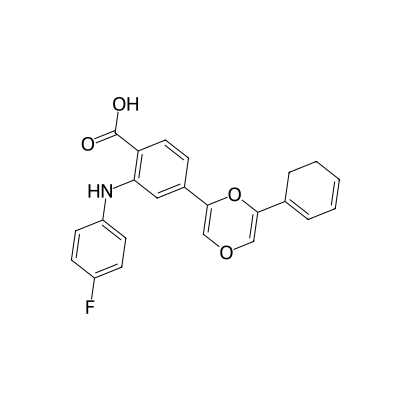 O=C(O)c1ccc(C2=COC=C(C3=CC=CCC3)O2)cc1Nc1ccc(F)cc1